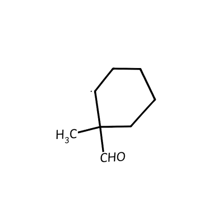 CC1(C=O)[CH]CCCC1